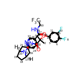 CC(C)(Oc1ccc(F)c(F)c1)C(=O)N[C@H]1C[C@H]2CC[C@@H](C1)N2c1ccc(C(=O)NCC(F)(F)F)cn1